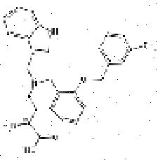 Cc1cccc(COc2ccccc2CN(CC[C@H](N)C(=O)O)Cc2c[nH]c3ccccc23)c1